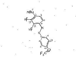 CCCCc1ccc(CCc2ccc(OC(F)(F)F)cc2)c(F)c1F